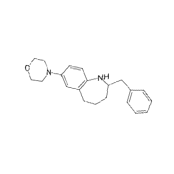 c1ccc(CC2CCCc3cc(N4CCOCC4)ccc3N2)cc1